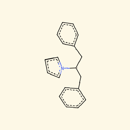 c1ccc(C[C](Cc2ccccc2)n2cccc2)cc1